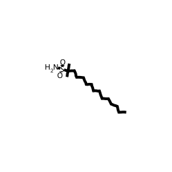 CCCCCCCCCCCCCC(C)(C)S(N)(=O)=O